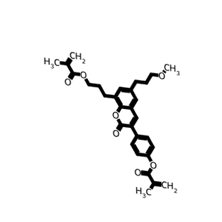 C=C(C)C(=O)OCCCc1cc(CCCOC)cc2cc(-c3ccc(OC(=O)C(=C)C)cc3)c(=O)oc12